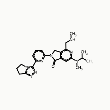 CNCc1nc(N(C)C(C)C)cc2c1CN(c1cccc(-c3nnc4n3CCC4)n1)C2=O